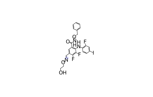 O=C(NOCc1ccccc1)c1cc(/C=N/OCCO)c(F)c(F)c1Nc1ccc(I)cc1F